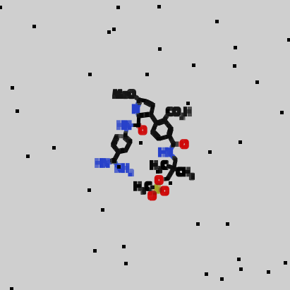 COc1ccc(-c2ccc(C(=O)NCC(C)(C)COS(C)(=O)=O)cc2C(=O)O)c(C(=O)Nc2ccc(C(=N)N)cc2)n1